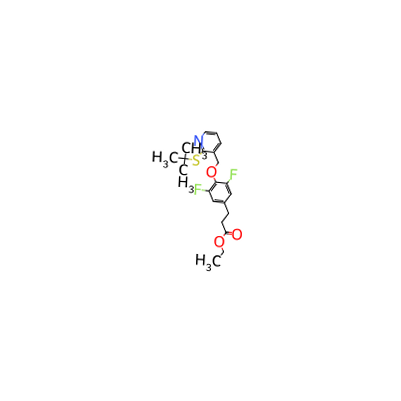 CCOC(=O)CCc1cc(F)c(OCc2cccnc2SC(C)(C)C)c(F)c1